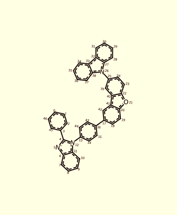 c1ccc(-c2nc3ccccc3n2-c2ccc(-c3ccc4oc5ccc(-n6c7ccccc7c7ccccc76)cc5c4c3)cc2)cc1